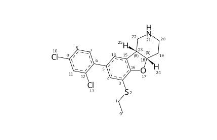 CCSc1cc(-c2ccc(Cl)cc2Cl)cc2c1O[C@H]1CCNC[C@@H]21